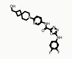 O=C(Nc1ccc(N2CCC3(CC2)CC(CO)C3)nc1)c1nnc(Nc2ccc(F)c(F)c2)o1